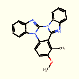 COc1ccc2c(c1C)c1nc3ccccc3n1c1nc3ccccc3n21